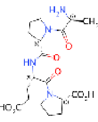 C[C@H](N)C(=O)N1CCC[C@H]1C(=O)N[C@@H](CCC(=O)O)C(=O)N1CCC[C@H]1C(=O)O